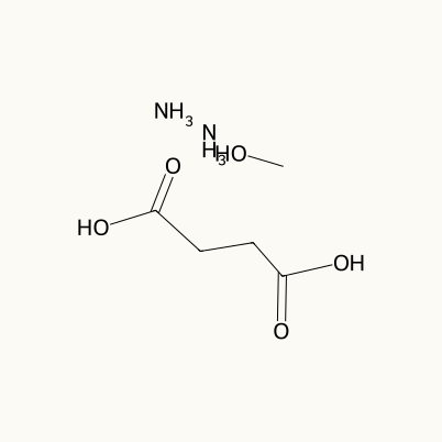 CO.N.N.O=C(O)CCC(=O)O